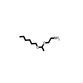 CCCCCCOC(C)OCCN